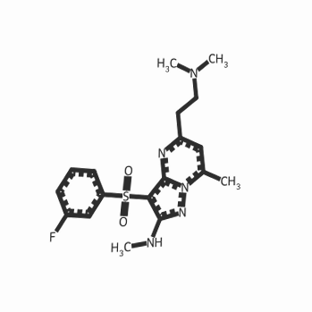 CNc1nn2c(C)cc(CCN(C)C)nc2c1S(=O)(=O)c1cccc(F)c1